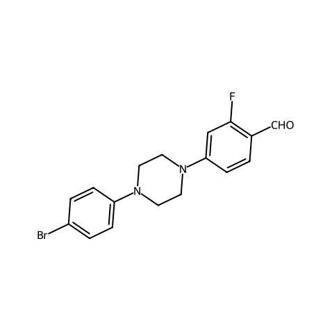 O=Cc1ccc(N2CCN(c3ccc(Br)cc3)CC2)cc1F